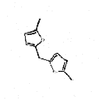 [CH2]c1ccc(Cc2ccc([CH2])o2)o1